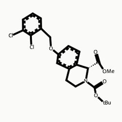 COC(=O)[C@H]1c2ccc(OCc3cccc(Cl)c3Cl)cc2CCN1C(=O)OC(C)(C)C